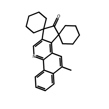 Cc1cc2c3c(cnc2c2ccccc12)C1(CCCCC1)C(=O)C31CCCCC1